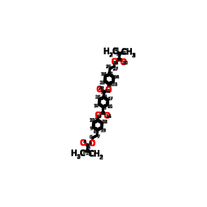 C=C(C)C(=O)OCCc1ccc(OC(=O)c2ccc(C(=O)Oc3ccc(CCOC(=O)C(=C)C)cc3)cc2)cc1